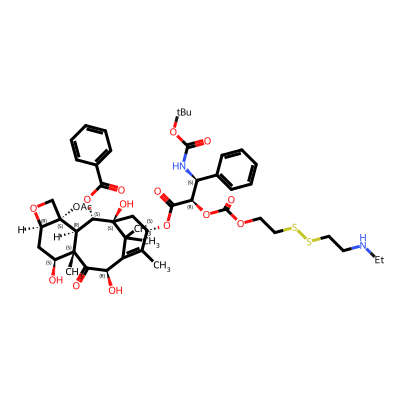 CCNCCSSCCOC(=O)O[C@@H](C(=O)O[C@H]1C[C@@]2(O)[C@@H](OC(=O)c3ccccc3)[C@@H]3[C@]4(OC(C)=O)CO[C@@H]4C[C@H](O)[C@@]3(C)C(=O)[C@H](O)C(=C1C)C2(C)C)[C@@H](NC(=O)OC(C)(C)C)c1ccccc1